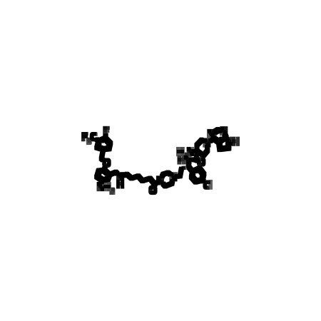 Nc1ccc(OCc2ccc(F)c(C(F)(F)F)c2)c(CNCCCCCC(=O)N2CCN(CC[C@H](NC(=O)C3(N)CCN(c4ncnc5[nH]ccc45)CC3)c3ccc(Cl)cc3)CC2)c1